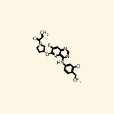 C=CC(=O)N1CC[C@H](Oc2nc3c(Nc4ccc(CC(F)(F)F)c(Cl)c4)ncnc3cc2F)C1